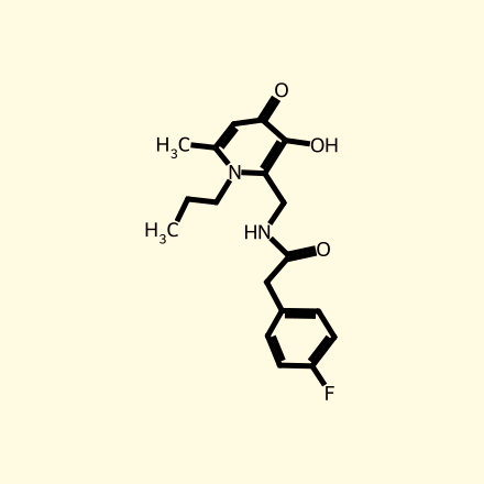 CCCn1c(C)cc(=O)c(O)c1CNC(=O)Cc1ccc(F)cc1